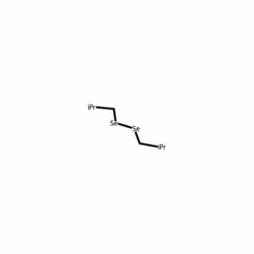 CC(C)C[Se][Se]CC(C)C